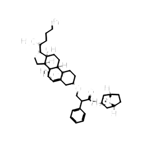 CC(C)CCC[C@@H](C)[C@H]1CC[C@H]2[C@@H]3CC=C4C[C@@H](OCC(C(=O)O[C@H]5C[C@H]6CC[C@@H](C5)N6C)c5ccccc5)CC[C@]4(C)[C@H]3CC[C@]12C